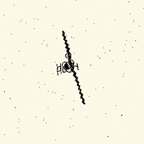 CCCCCCCCCCCCCCCCCCOCCOCCCCCCCCCCCC.O=P(O)(O)O